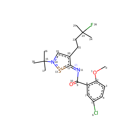 COc1ccc(Cl)cc1C(=O)/N=c1\sn(C(C)(C)C)cc1CCC(C)(C)F